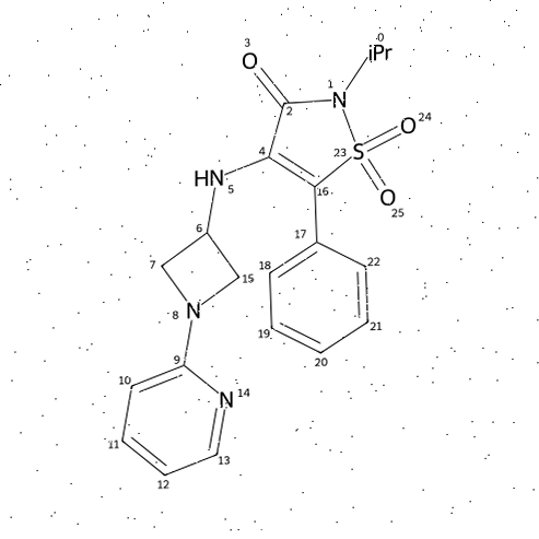 CC(C)N1C(=O)C(NC2CN(c3ccccn3)C2)=C(c2ccccc2)S1(=O)=O